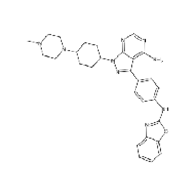 CN1CCN(C2CCC(n3nc(-c4ccc(Nc5nc6ccccc6o5)cc4)c4c(N)ncnc43)CC2)CC1